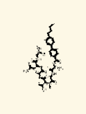 CCCCc1ccc(-c2ccc(C(=O)N[C@H](N)C(=O)NCC(=O)N(C)[C@H](C(=O)N[C@@H](C)C(=O)N[C@@H](CC(N)=O)C(=O)NCB(O)O)C(C)O)cc2)cc1